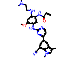 C=CC(=O)Nc1cc(Nc2nccc(-c3cc(C#N)c4c(c3)c(C)cn4C)n2)c(OC)cc1NCCN(C)C